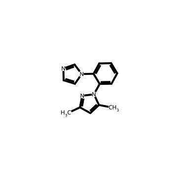 Cc1cc(C)n(-c2ccccc2-n2ccnc2)n1